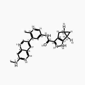 CNc1cc2ncc(-c3cc(NC(=O)c4n[nH]c5c4C[C@@H]4C[C@H]54)cnc3C)cc2cn1